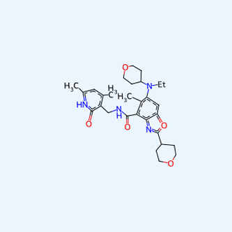 CCN(c1cc2oc(C3CCOCC3)nc2c(C(=O)NCc2c(C)cc(C)[nH]c2=O)c1C)C1CCOCC1